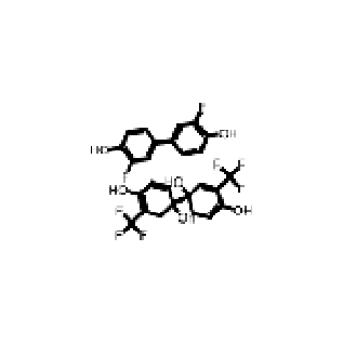 OC1=CCC(O)(C2(O)C=CC(O)=C(C(F)(F)F)C2)C=C1C(F)(F)F.Oc1ccc(-c2ccc(O)c(F)c2)cc1F